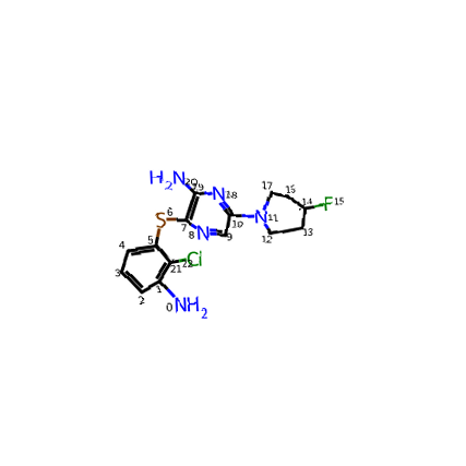 Nc1cccc(Sc2ncc(N3CC[C](F)CC3)nc2N)c1Cl